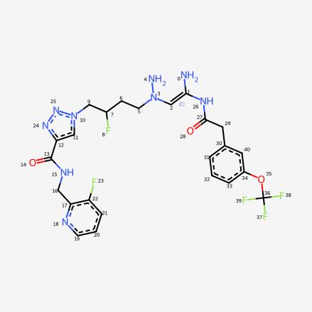 N/C(=C\N(N)CCC(F)Cn1cc(C(=O)NCc2ncccc2F)nn1)NC(=O)Cc1cccc(OC(F)(F)F)c1